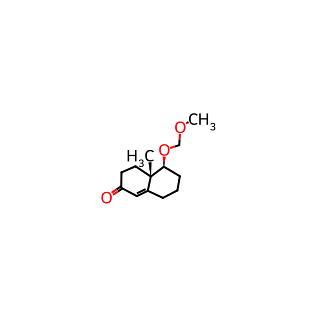 COCO[C@H]1CCCC2=CC(=O)CC[C@@]21C